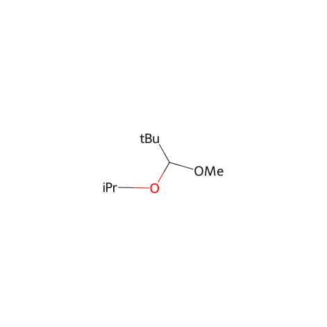 COC(OC(C)C)C(C)(C)C